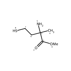 COC(=O)C(C)(N)CCS